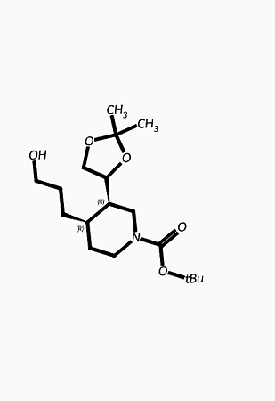 CC(C)(C)OC(=O)N1CC[C@@H](CCCO)[C@@H](C2COC(C)(C)O2)C1